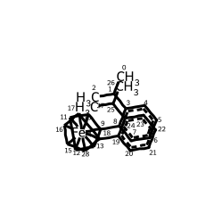 CC(C)c1ccccc1[C]12[CH]3[CH]4[CH]5[CH]1[Fe]45321678[CH]2[CH]1[CH]6[C]7(c1ccccc1C(C)C)[CH]28